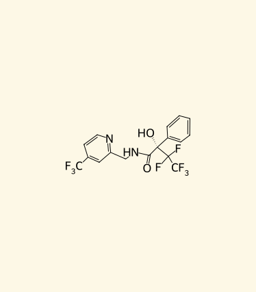 O=C(NCc1cc(C(F)(F)F)ccn1)[C@@](O)(c1ccccc1)C(F)(F)C(F)(F)F